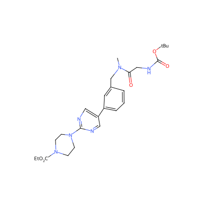 CCOC(=O)N1CCN(c2ncc(-c3cccc(CN(C)C(=O)CNC(=O)OC(C)(C)C)c3)cn2)CC1